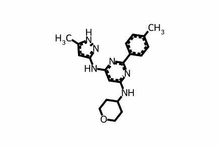 Cc1ccc(-c2nc(Nc3cc(C)[nH]n3)cc(NC3CCOCC3)n2)cc1